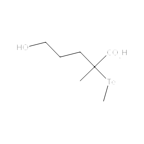 C[Te]C(C)(CCCO)C(=O)O